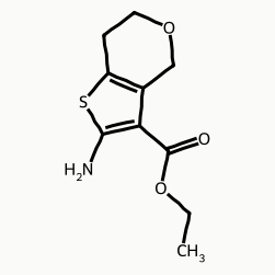 CCOC(=O)c1c(N)sc2c1COCC2